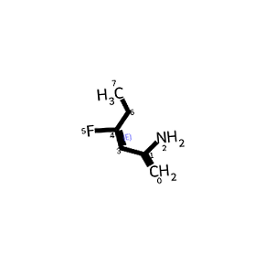 C=C(N)/C=C(/F)CC